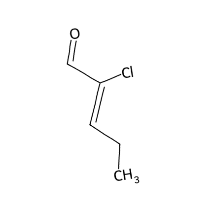 CC/C=C(\Cl)C=O